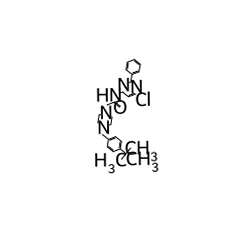 CC(C)(C)c1ccc(CN2CCN(CC(=O)Nc3cc(Cl)nc(-c4ccccc4)n3)CC2)cc1